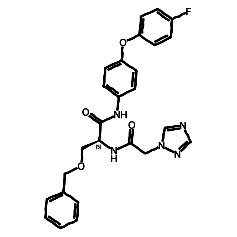 O=C(Cn1cncn1)N[C@@H](COCc1ccccc1)C(=O)Nc1ccc(Oc2ccc(F)cc2)cc1